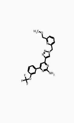 COCc1cccc(Cn2cc(-c3cc(-c4cccc(OC(F)(F)F)c4)nc(N)n3)nn2)n1